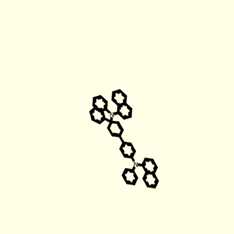 C1=CC(c2ccccc2)(N(c2ccccc2)c2cccc3ccccc23)CC=C1c1ccc(N(c2ccccc2)c2cccc3ccccc23)cc1